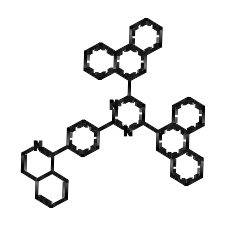 C1=CC2C=CN=C(c3ccc(-c4nc(-c5cc6ccccc6c6ccccc56)cc(-c5cc6ccccc6c6ccccc56)n4)cc3)C2C=C1